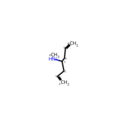 C=CCC(CC=C)NC